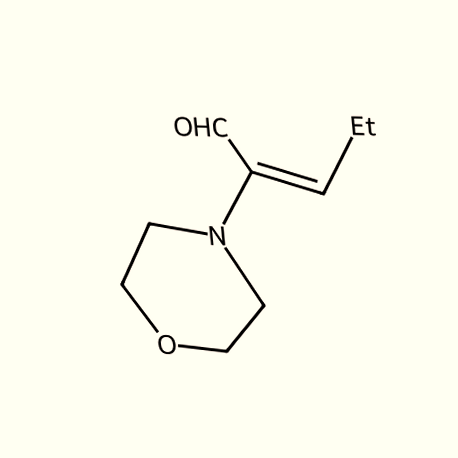 CC/C=C(\C=O)N1CCOCC1